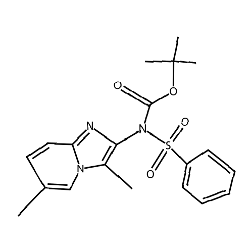 Cc1ccc2nc(N(C(=O)OC(C)(C)C)S(=O)(=O)c3ccccc3)c(C)n2c1